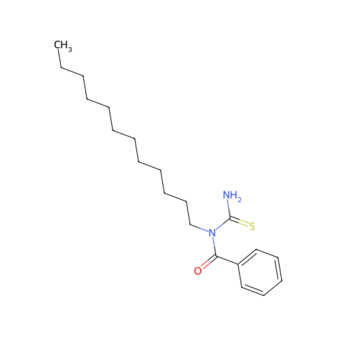 CCCCCCCCCCCCN(C(=O)c1ccccc1)C(N)=S